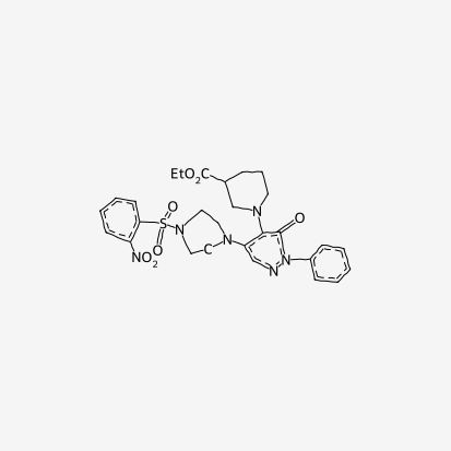 CCOC(=O)C1CCCN(c2c(N3CCN(S(=O)(=O)c4ccccc4[N+](=O)[O-])CC3)cnn(-c3ccccc3)c2=O)C1